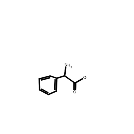 NC(C([O])=O)c1ccccc1